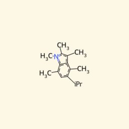 Cc1c(C(C)C)cc(C)c2c1c(C)c(C)n2C